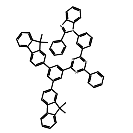 CC1(C)c2ccccc2-c2ccc(-c3cc(-c4ccc5c(c4)C(C)(C)c4ccccc4-5)cc(-c4nc(-c5ccccc5)nc(-c5cccc(-n6c(-c7ccccc7)nc7ccccc76)c5)n4)c3)cc21